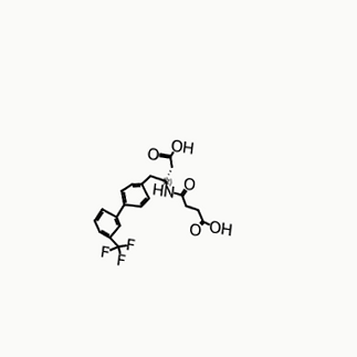 O=C(O)CCC(=O)N[C@@H](CC(=O)O)Cc1ccc(-c2cccc(C(F)(F)F)c2)cc1